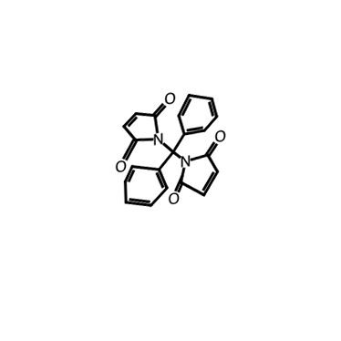 O=C1C=CC(=O)N1C(c1ccccc1)(c1ccccc1)N1C(=O)C=CC1=O